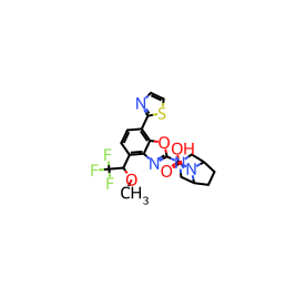 COC(c1ccc(-c2nccs2)c2oc(N3CC4CCC(C3)N4C(=O)O)nc12)C(F)(F)F